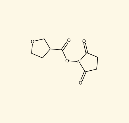 O=C(ON1C(=O)CCC1=O)C1CCOC1